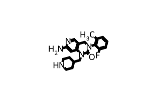 Cc1cccc(F)c1N1Cc2cnc(N)cc2N(CC2CCNCC2)C1=O